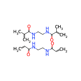 C=C(C)C(=O)NCCNC(=O)C(=C)C.C=CC(=O)NCCNC(=O)C=C